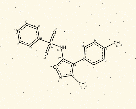 Cc1ccc(-c2c(C)noc2NS(=O)(=O)c2ccccc2)cc1